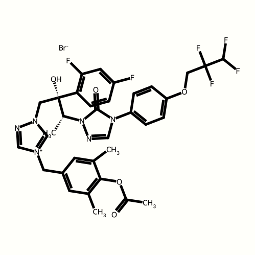 CC(=O)Oc1c(C)cc(C[n+]2cnn(C[C@@](O)(c3ccc(F)cc3F)[C@@H](C)n3ncn(-c4ccc(OCC(F)(F)C(F)F)cc4)c3=O)c2)cc1C.[Br-]